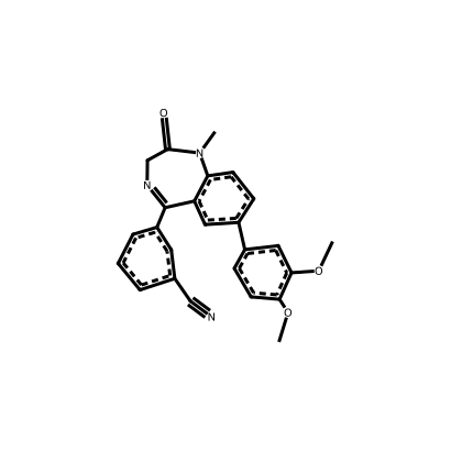 COc1ccc(-c2ccc3c(c2)C(c2cccc(C#N)c2)=NCC(=O)N3C)cc1OC